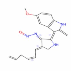 C=CC\C=C/C=C1\CNC(=c2/c(=C)[nH]c3ccc(OC)cc23)\C1=N\N=O